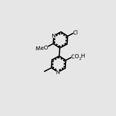 COc1ncc(Cl)cc1-c1cc(C)ncc1C(=O)O